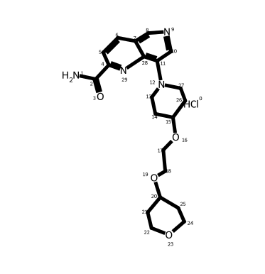 Cl.NC(=O)c1ccc2cncc(N3CCC(OCCOC4CCOCC4)CC3)c2n1